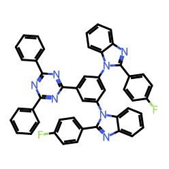 Fc1ccc(-c2nc3ccccc3n2-c2cc(-c3nc(-c4ccccc4)nc(-c4ccccc4)n3)cc(-n3c(-c4ccc(F)cc4)nc4ccccc43)c2)cc1